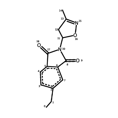 CCc1ccc2c(c1)C(=O)N(C1CC(C)=NO1)C2=O